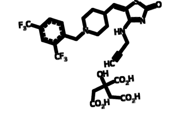 C#CCNC1=NC(=O)SC1=CC1CCN(Cc2ccc(C(F)(F)F)cc2C(F)(F)F)CC1.O=C(O)CC(O)(CC(=O)O)C(=O)O